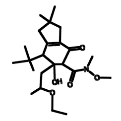 CCOC(C)CC1(O)C(C(=O)N(C)OC)C(=O)C2=C(CC(C)(C)C2)C1C(C)(C)C